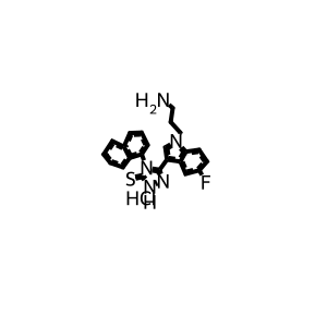 Cl.NCCCn1cc(-c2n[nH]c(=S)n2-c2cccc3ccccc23)c2cc(F)ccc21